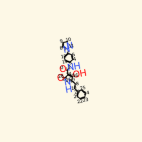 O=C(Nc1ccc(-n2cccn2)cc1)C1=C(O)C(CCc2ccccc2)NC1=O